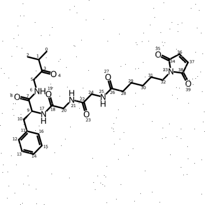 CC(C)C(=O)CNC(=O)[C@H](Cc1ccccc1)NC(=O)CNC(=O)CNC(=O)CCCCCN1C(=O)C=CC1=O